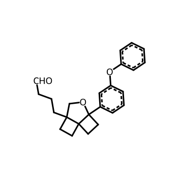 O=CCCCC12CCC13CCC3(c1cccc(Oc3ccccc3)c1)OC2